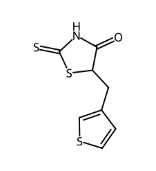 O=C1NC(=S)SC1Cc1ccsc1